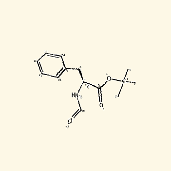 C[Si](C)(C)OC(=O)[C@H](Cc1ccccc1)NC=O